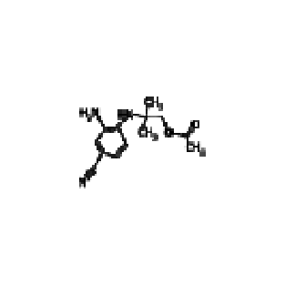 CC(=O)OCC(C)(C)Nc1ccc(C#N)cc1N